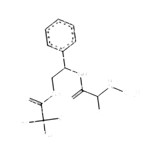 CC(NC(=O)O)C(=O)NC(CNC(=O)C(C)(C(C)C)C(C)C)c1ccccc1